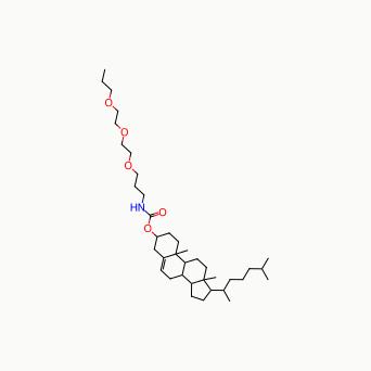 CCCOCCOCCOCCCNC(=O)OC1CCC2(C)C(=CCC3C2CCC2(C)C(C(C)CCCC(C)C)CCC32)C1